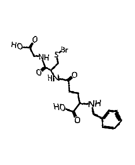 O=C(O)CNC(=O)C(CSBr)NC(=O)CCC(NCc1ccccc1)C(=O)O